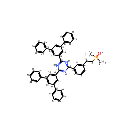 CP(C)(=O)CCc1cccc(-c2nc(-c3cc(-c4ccccc4)cc(-c4ccccc4)c3)nc(-c3cc(-c4ccccc4)cc(-c4ccccc4)c3)n2)c1